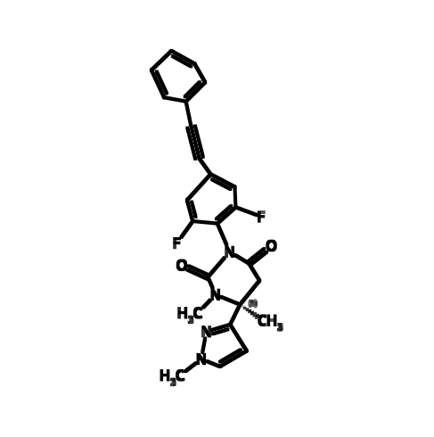 CN1C(=O)N(c2c(F)cc(C#Cc3ccccc3)cc2F)C(=O)C[C@@]1(C)c1ccn(C)n1